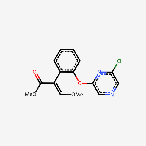 CO/C=C(/C(=O)OC)c1ccccc1Oc1cncc(Cl)n1